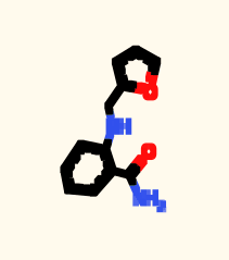 NC(=O)c1ccccc1NCc1ccco1